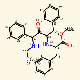 CC(C)(C)OC(=O)[C@H](Cc1ccccc1)NC(Cc1ccccc1)C(=O)C(NCC(=O)O)c1ccccc1